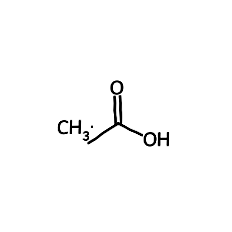 CC(=O)O.[CH3]